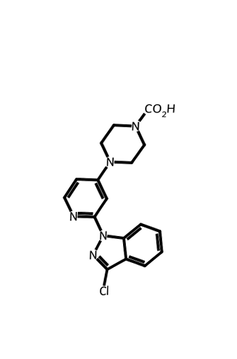 O=C(O)N1CCN(c2ccnc(-n3nc(Cl)c4ccccc43)c2)CC1